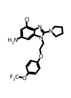 Nc1cc(Cl)c2nc(N3CCCC3)n(CCOc3ccc(OC(F)(F)F)cc3)c2c1